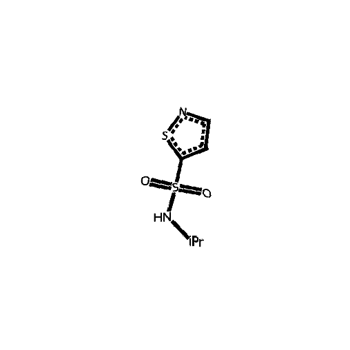 CC(C)NS(=O)(=O)c1ccns1